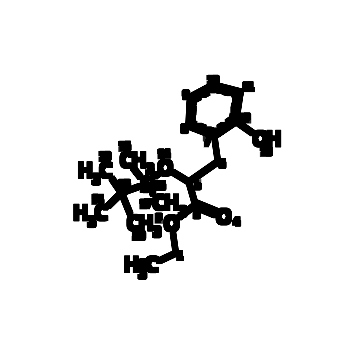 CCOC(=O)C(Cc1ccccc1O)O[Si](C)(C)C(C)(C)C